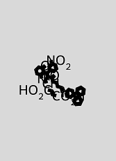 Cc1nc2c(c(-c3cccc([N+](=O)[O-])c3)c1C(=O)CCCCCN1CCC(c3ccccc3)(c3ccccc3)CC1)C(=O)CCC2.O=C(O)/C=C/C(=O)O